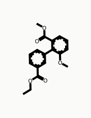 CCOC(=O)c1cccc(-c2c(OC)cccc2C(=O)OC)c1